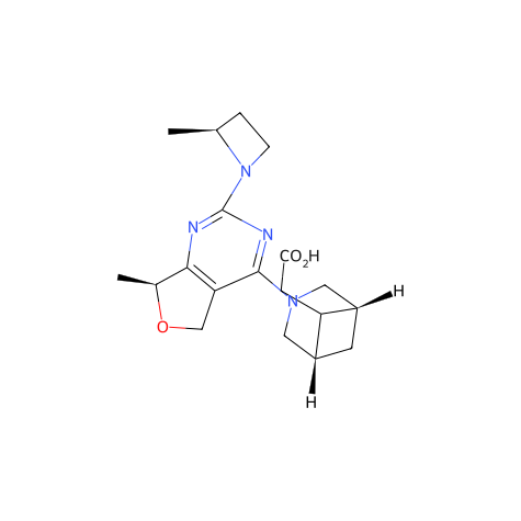 C[C@@H]1OCc2c1nc(N1CC[C@@H]1C)nc2N1C[C@H]2C[C@@H](C1)C2CC(=O)O